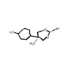 CCCC[C@H]1OC[C@@](C)(C2CCC(C)CC2)CO1